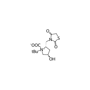 CC(C)(C)[N+]1(C(=O)[O-])C[C@H](O)C[C@H]1CN1C(=O)CSC1=O